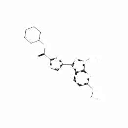 CCCCCCCNc1ccc2c(-c3cnc(C(=O)NC4CCCCC4)s3)nn(C)c2n1